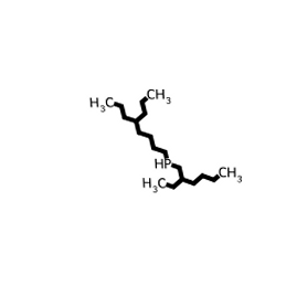 CCCCC(CC)CPCCCCC(CCC)CCC